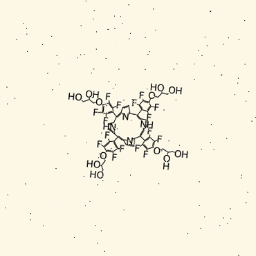 OCC(O)COc1c(F)c(F)c(-c2c3nc(c(-c4c(F)c(F)c(OCC(O)CO)c(F)c4F)c4ccc([nH]4)c(-c4c(F)c(F)c(OCC(O)CO)c(F)c4F)c4nc(c(-c5c(F)c(F)c(OCC(O)CO)c(F)c5F)c5[nH]c2CC5)C=C4)C=C3)c(F)c1F